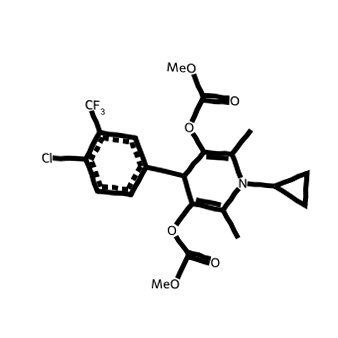 COC(=O)OC1=C(C)N(C2CC2)C(C)=C(OC(=O)OC)C1c1ccc(Cl)c(C(F)(F)F)c1